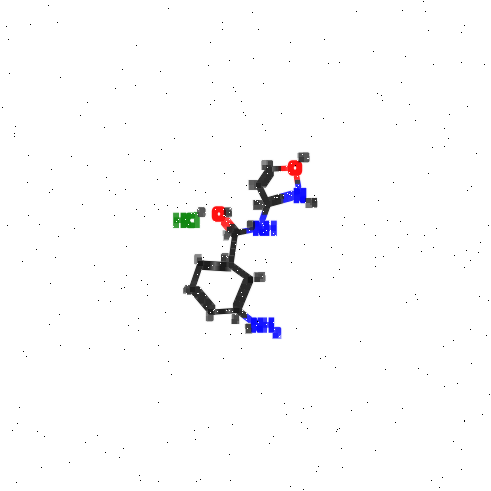 Cl.Nc1cccc(C(=O)Nc2ccon2)c1